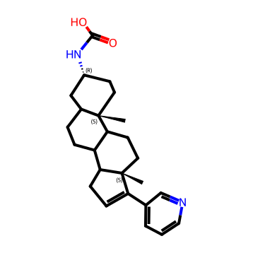 C[C@]12CC[C@@H](NC(=O)O)CC1CCC1C2CC[C@]2(C)C(c3cccnc3)=CCC12